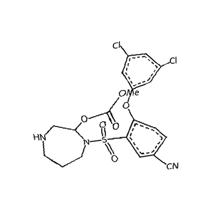 COC(=O)OC1CNCCCN1S(=O)(=O)c1cc(C#N)ccc1Oc1cc(Cl)cc(Cl)c1